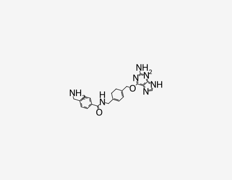 NCc1ccc(C(=O)NCC2=CC=C(COc3nc(N)nc4[nH]cnc34)CC2)cc1